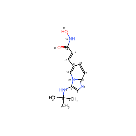 CC(C)(C)Nc1cnc2ccc(C=CC(=O)NO)cn12